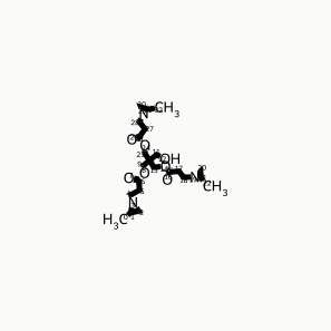 CC1CN1CCC(=O)OCC(CO)(COC(=O)CCN1CC1C)COC(=O)CCN1CC1C